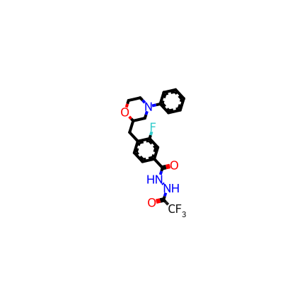 O=C(NNC(=O)C(F)(F)F)c1ccc(CC2CN(c3ccccc3)CCO2)c(F)c1